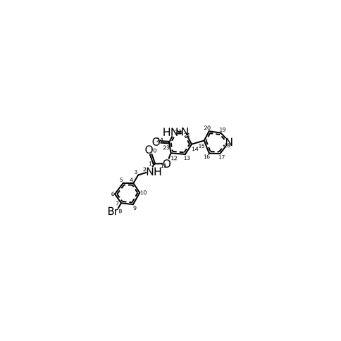 O=C(NCc1ccc(Br)cc1)Oc1cc(-c2ccncc2)n[nH]c1=O